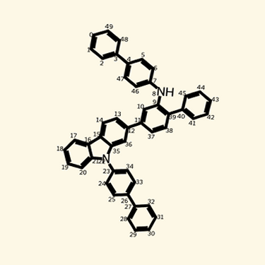 c1ccc(-c2ccc(Nc3cc(-c4ccc5c6ccccc6n(-c6ccc(-c7ccccc7)cc6)c5c4)ccc3-c3ccccc3)cc2)cc1